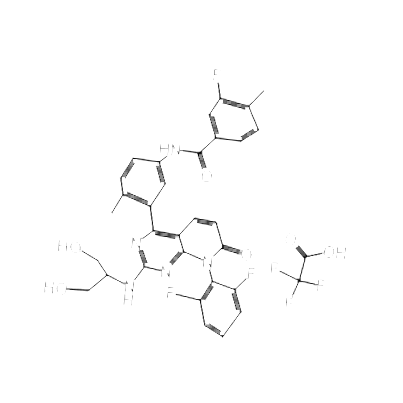 Cc1ccc(C(=O)Nc2ccc(C)c(-c3nc(NC(CO)CO)nc4c3ccc(=O)n4-c3c(F)cccc3F)c2)cc1F.O=C(O)C(F)(F)F